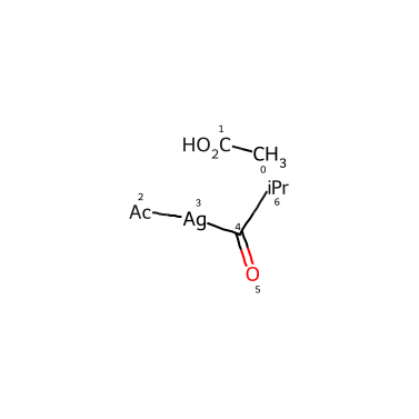 CC(=O)O.C[C](=O)[Ag][C](=O)C(C)C